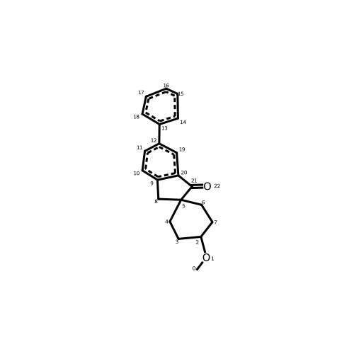 COC1CCC2(CC1)Cc1ccc(-c3ccccc3)cc1C2=O